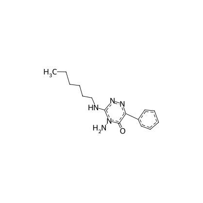 CCCCCCNc1nnc(-c2ccccc2)c(=O)n1N